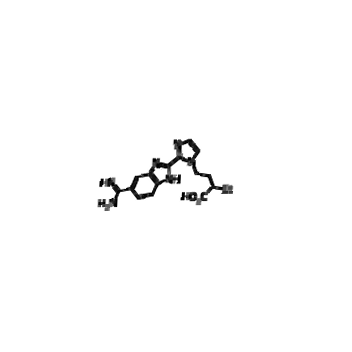 CCC(CCn1ccnc1-c1nc2cc(C(=N)N)ccc2[nH]1)C(=O)O